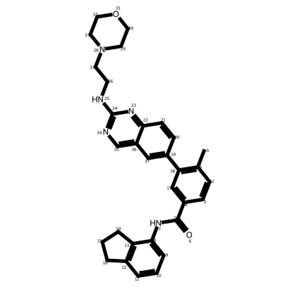 Cc1ccc(C(=O)Nc2cccc3c2CCC3)cc1-c1ccc2nc(NCCN3CCOCC3)ncc2c1